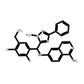 CCc1cc(C(Nc2ccc3c(N)nccc3c2)c2nc(-c3ccccc3)nn2C)c(F)cc1Cl